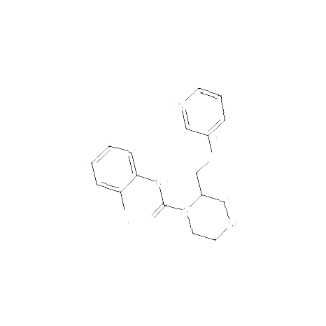 O=C(Nc1ccccc1F)N1CCNCC1COc1cccnc1